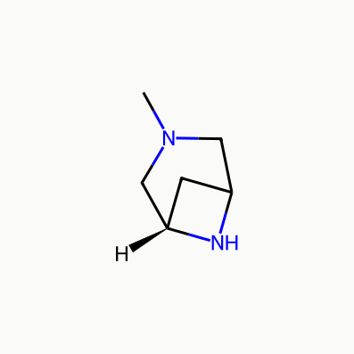 CN1CC2C[C@@H](C1)N2